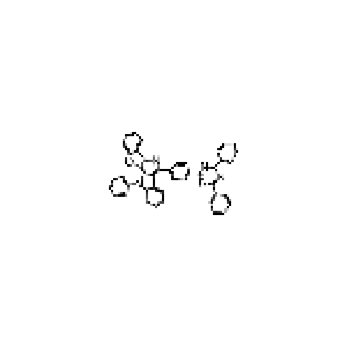 c1ccc(-c2nc(-c3ccccc3)nc(-c3ccc(-c4nc5c6ccccc6oc5c5c4c4ccccc4n5-c4ccccc4)cc3)n2)cc1